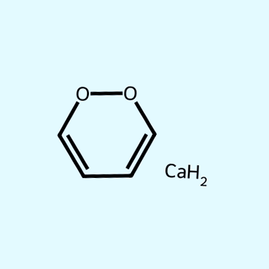 C1=COOC=C1.[CaH2]